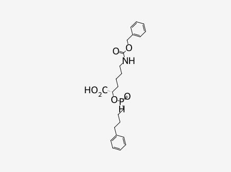 O=C(NCCCC[C@H](O[PH](=O)CCCCc1ccccc1)C(=O)O)OCc1ccccc1